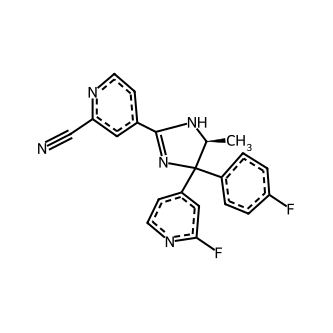 C[C@@H]1NC(c2ccnc(C#N)c2)=NC1(c1ccc(F)cc1)c1ccnc(F)c1